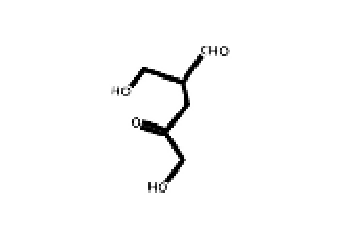 O=CC(CO)CC(=O)CO